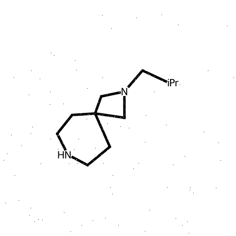 CC(C)CN1CC2(CCNCC2)C1